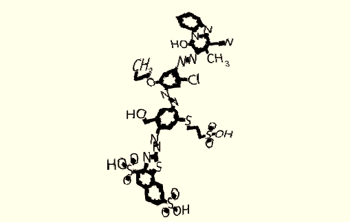 CCCOc1cc(N=Nc2c(C)c(C#N)c3nc4ccccc4n3c2O)c(Cl)cc1N=Nc1cc(CO)c(N=Nc2nc3c(S(=O)(=O)O)cc4ccc(S(=O)(=O)O)cc4c3s2)cc1SCCCS(=O)(=O)O